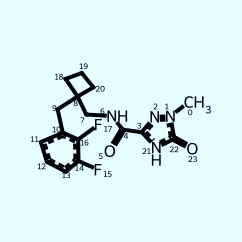 Cn1nc(C(=O)NCC2(Cc3cccc(F)c3F)CCC2)[nH]c1=O